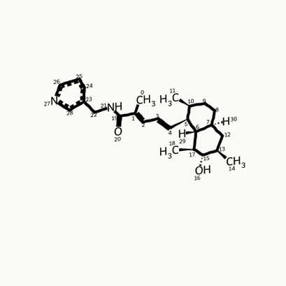 C/C(=C\C=C\[C@@H]1[C@@H]2[C@@H](CC[C@@H]1C)C[C@@H](C)[C@H](O)[C@H]2C)C(=O)NCc1cccnc1